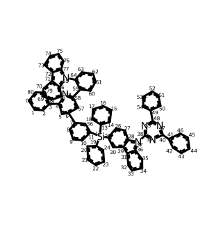 c1ccc(-c2cc(-c3cccc([Si](c4ccccc4)(c4ccccc4)c4ccc5c(c4)c4ccccc4n5-c4nc(-c5ccccc5)nc(-c5ccccc5)n4)c3)cc(-c3ccccc3-n3c4ccccc4c4ccccc43)n2)cc1